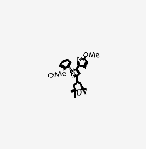 COc1ccc(-c2cc(C3CC(C)(C)OC(C)(C)C3)nn2-c2ccccc2OC)cn1